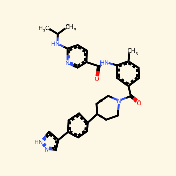 Cc1ccc(C(=O)N2CCC(c3ccc(-c4cn[nH]c4)cc3)CC2)cc1NC(=O)c1ccc(NC(C)C)nc1